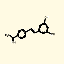 N=C(N)c1ccc(/C=C/c2cc(O)cc(O)c2)cc1